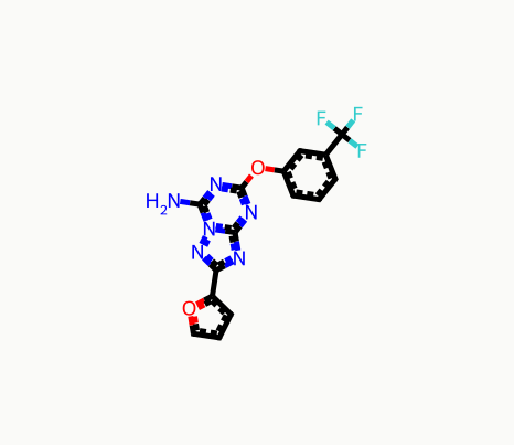 Nc1nc(Oc2cccc(C(F)(F)F)c2)nc2nc(-c3ccco3)nn12